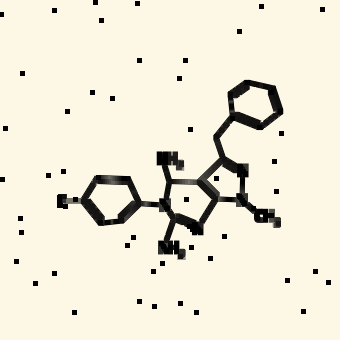 Cn1nc(Cc2ccccc2)c2c1N=C(N)N(c1ccc(F)cc1)C2N